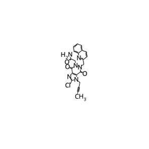 CC#CCn1c(Cl)nc2c(=O)n(CC(N)=O)n(Cc3ccc4ccccc4n3)c(=O)c21